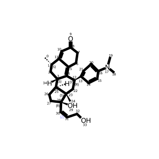 C[C@H]1C[C@@H]2C(=C3CCC(=O)C=C31)[C@@H](c1ccc(N(C)C)cc1)C[C@@]1(C)[C@H]2CC[C@@]1(O)/C=C\CO